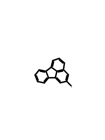 Ic1cc2c3c(cccc3c1)-c1ccccc1-2